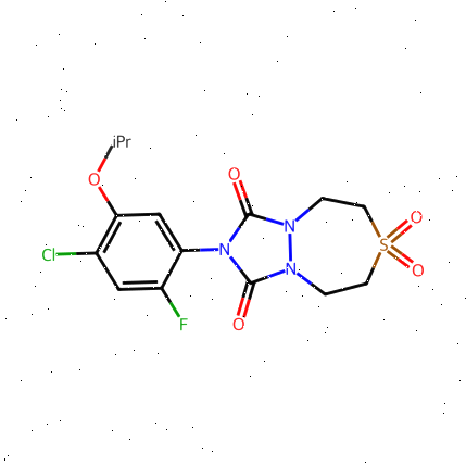 CC(C)Oc1cc(-n2c(=O)n3n(c2=O)CCS(=O)(=O)CC3)c(F)cc1Cl